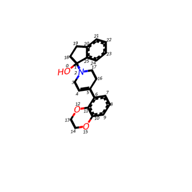 OC1(N2CC=C(c3cccc4c3OCCO4)CC2)CCc2ccccc21